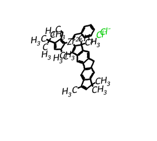 CCC1=[C]([Zr+2](=[CH]c2ccccc2)[C]2=C(C)c3cc4c(cc3C2(C)C)Cc2cc3c(cc2-4)C(C)=CC3(C)C)C(C)C=C1C(C)(C)C.[Cl-].[Cl-]